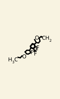 C=CC1CCC(c2ccc(C3CCC(OCCCC)CC3)c(C(F)(F)F)c2F)CO1